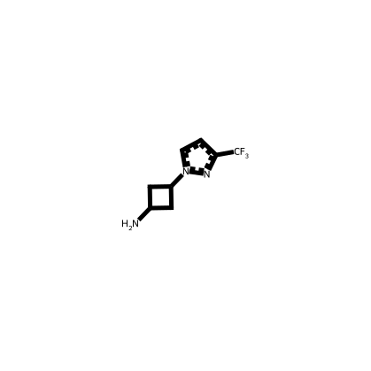 NC1CC(n2ccc(C(F)(F)F)n2)C1